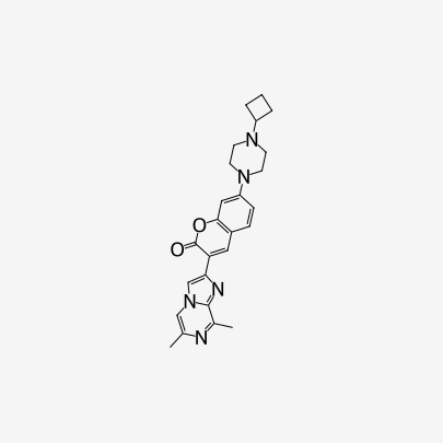 Cc1cn2cc(-c3cc4ccc(N5CCN(C6CCC6)CC5)cc4oc3=O)nc2c(C)n1